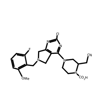 COc1cccc(F)c1CN1Cc2nc(Cl)nc(N3CCN(C(=O)O)C(CC#N)C3)c2C1